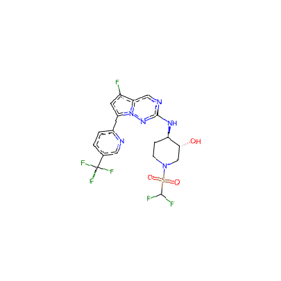 O=S(=O)(C(F)F)N1CC[C@@H](Nc2ncc3c(F)cc(-c4ccc(C(F)(F)F)cn4)n3n2)[C@H](O)C1